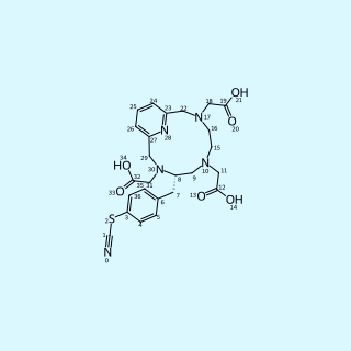 N#CSc1ccc(C[C@H]2CN(CC(=O)O)CCN(CC(=O)O)Cc3cccc(n3)CN2CC(=O)O)cc1